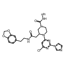 CCCNC(=O)N1CCN(c2cc(Cl)nc(-n3ccnc3)n2)C(CC(=O)NCCc2ccc3c(c2)OCO3)C1